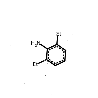 CCc1c[c]cc(CC)c1N